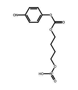 O=Nc1ccc(OC(=O)OCCCCO[N+](=O)O)cc1